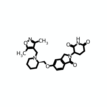 Cc1noc(C)c1CN1CCCC[C@@H]1COc1ccc2c(c1)CN(C1CCC(=O)NC1=O)C2=O